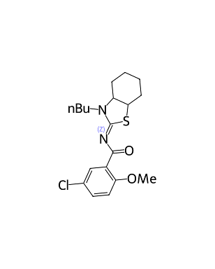 CCCCN1/C(=N/C(=O)c2cc(Cl)ccc2OC)SC2CCCCC21